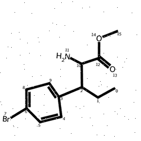 CCC(c1ccc(Br)cc1)C(N)C(=O)OC